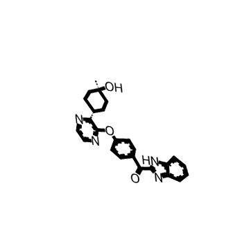 C[C@]1(O)CC[C@H](c2nccnc2Oc2ccc(C(=O)c3nc4ccccc4[nH]3)cc2)CC1